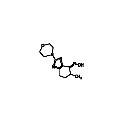 CC1CCc2nc(N3CCOCC3)sc2/C1=N/O